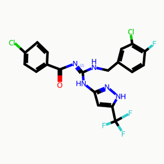 O=C(/N=C(/NCc1ccc(F)c(Cl)c1)Nc1cc(C(F)(F)F)[nH]n1)c1ccc(Cl)cc1